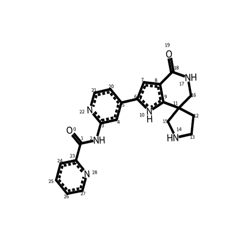 O=C(Nc1cc(-c2cc3c([nH]2)C2(CCNC2)CNC3=O)ccn1)c1ccccn1